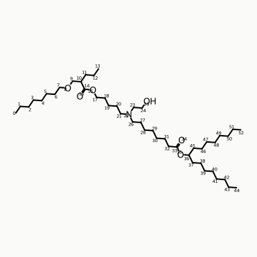 CCCCCCCCOCC(CCC)C(=O)OCCCCCN(CCO)CCCCCCCC(=O)OC(CCCCCCCC)CCCCCCCC